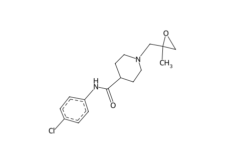 CC1(CN2CCC(C(=O)Nc3ccc(Cl)cc3)CC2)CO1